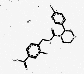 COC(=O)c1ccc(CNC(=O)N2CCNCC2c2ccc(Cl)cc2)c(F)c1.Cl